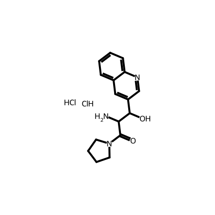 Cl.Cl.NC(C(=O)N1CCCC1)C(O)c1cnc2ccccc2c1